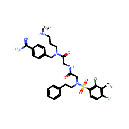 Cc1c(Cl)ccc(S(=O)(=O)N(CCc2ccccc2)CC(=O)NCC(=O)N(CCCNC(=O)O)Cc2ccc(C(=N)N)cc2)c1Cl